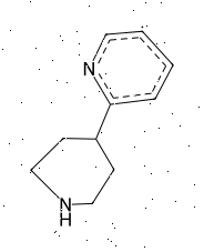 [c]1ccc(C2CCNCC2)nc1